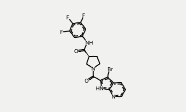 O=C(Nc1cc(F)c(F)c(F)c1)[C@H]1CCN(C(=O)c2[nH]c3ncccc3c2Br)C1